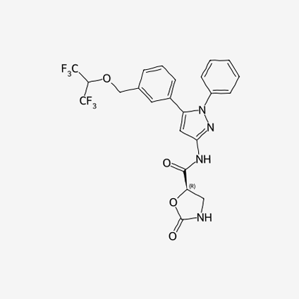 O=C1NC[C@H](C(=O)Nc2cc(-c3cccc(COC(C(F)(F)F)C(F)(F)F)c3)n(-c3ccccc3)n2)O1